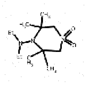 CCN(CC)N1C(C)(C)CS(=O)(=O)CC1(C)C